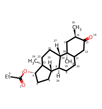 CCC(=O)O[C@H]1CC[C@H]2[C@@H]3CCC4CC(=O)[C@H](C)C[C@]4(C)[C@H]3CC[C@]12C